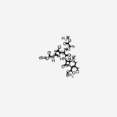 BOC(=O)C1=C(CCl)C[S+]([O-])[C@@H]2[C@H](NC(=O)/C(=N\O[C@H](C)C(=O)OB)c3nc(NC(=O)OC(C)(C)C)sc3Cl)C(=O)N12